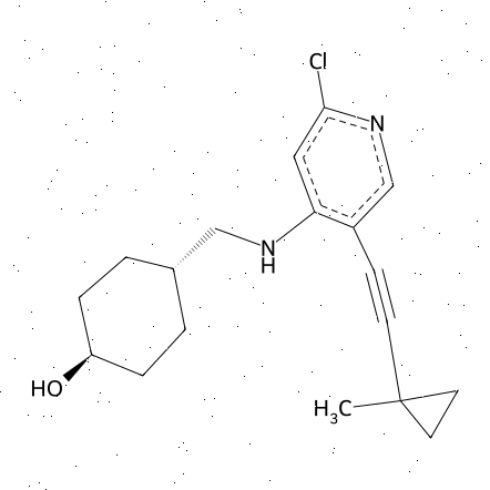 CC1(C#Cc2cnc(Cl)cc2NC[C@H]2CC[C@H](O)CC2)CC1